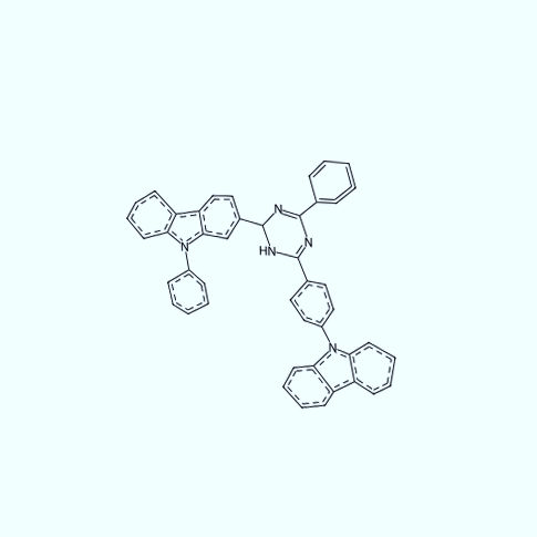 C1=C=C(C2=NC(c3ccc4c5ccccc5n(-c5ccccc5)c4c3)NC(c3ccc(-n4c5ccccc5c5ccccc54)cc3)=N2)C=CC=1